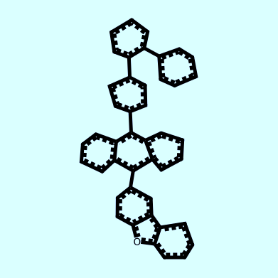 c1ccc(-c2ccccc2-c2ccc(-c3c4ccccc4c(-c4ccc5oc6ccccc6c5c4)c4ccccc34)cc2)cc1